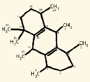 CC1CCC(C)C2=C1C(C)C1=C(C2C)C(C)(C)CCC1C